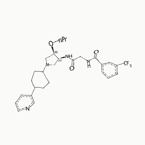 CCCO[C@@H]1CN(C2CCC(c3cccnc3)CC2)C[C@@H]1NC(=O)CNC(=O)c1cccc(C(F)(F)F)c1